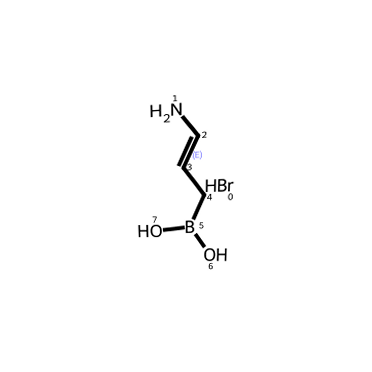 Br.N/C=C/CB(O)O